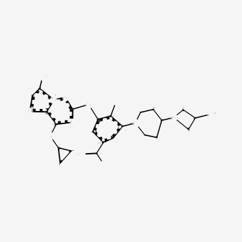 N#Cc1cnc2c(NC3CC3)nc(Nc3cc(C(F)F)cc(N4CCC(N5CC(F)C5)CC4)c3Cl)nn12